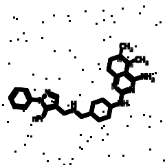 CCCc1c(CNCC2CCC(Nc3nc(N)c4c(n3)CC[C@@H](C)[C@H]4C)CC2)cnn1-c1ccccc1